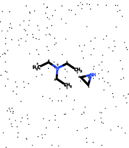 C1CN1.CCN(CC)CC